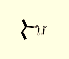 C=CC(=C)C.CC(C)=O.CCCO